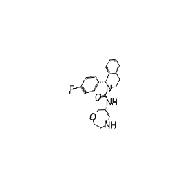 O=C(N[C@@H]1CNCCOC1)N1CCc2ccccc2[C@H]1c1ccc(F)cc1